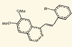 COc1cc2ccnc(/C=C/c3ccccc3Br)c2cc1OC